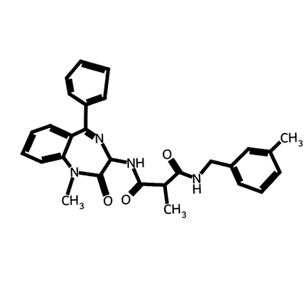 Cc1cccc(CNC(=O)C(C)C(=O)NC2N=C(c3ccccc3)c3ccccc3N(C)C2=O)c1